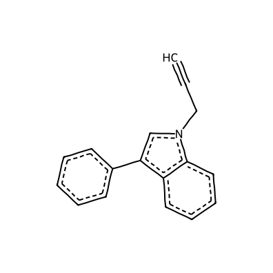 C#CCn1cc(-c2ccccc2)c2ccccc21